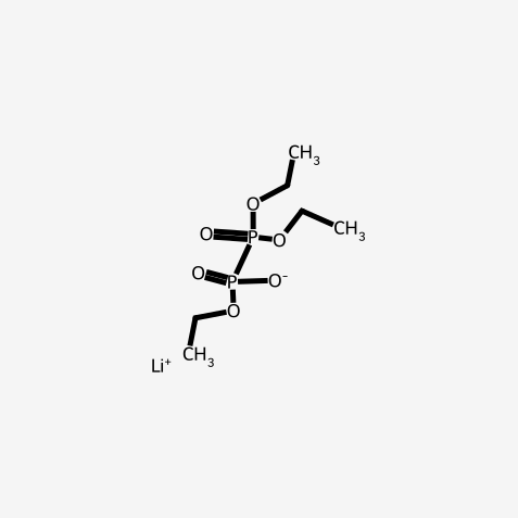 CCOP(=O)([O-])P(=O)(OCC)OCC.[Li+]